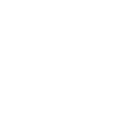 C=Cc1cccc(OC(C)OC2CCCC2)c1